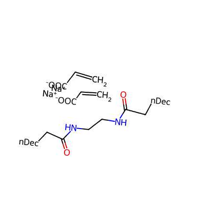 C=CC(=O)[O-].C=CC(=O)[O-].CCCCCCCCCCCC(=O)NCCNC(=O)CCCCCCCCCCC.[Na+].[Na+]